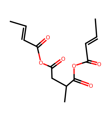 CC=CC(=O)OC(=O)CC(C)C(=O)OC(=O)C=CC